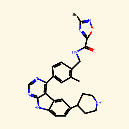 Cc1cc(-c2ncnc3[nH]c4ccc(C5CCNCC5)cc4c23)ccc1CNC(=O)c1nc(C(C)(C)C)no1